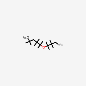 CC(=O)OC(C)(C)CC(C)(C)C(C)(C)OC(C)(C)C(C)(C)CC(C)(C)C